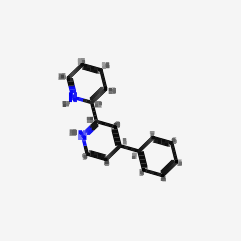 [c]1c(-c2ccccc2)ccnc1-c1ccccn1